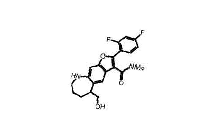 CNC(=O)c1c(-c2ccc(F)cc2F)oc2cc3c(cc12)C(CO)CCCN3